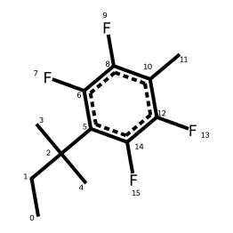 CCC(C)(C)c1c(F)c(F)c(C)c(F)c1F